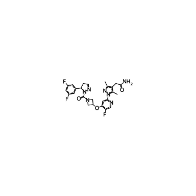 Cc1nn(-c2cc(OC3CN(C(=O)N4N=CCC4c4cc(F)cc(F)c4)C3)c(F)cn2)c(C)c1CC(N)=O